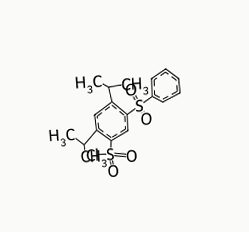 CC(C)c1cc(C(C)C)c(S(=O)(=O)c2ccccc2)cc1S(=O)(=O)Cl